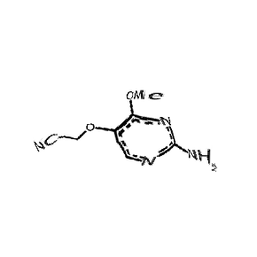 COc1nc(N)ncc1OCC#N